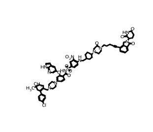 CC1(C)CCC(CN2CCN(c3ccc(C(=O)NS(=O)(=O)c4ccc(NCC5CCC(N6CCN(CCCC#Cc7cccc8c7CN(C7CCC(=O)NC7=O)C8=O)C(=O)C6)CC5)c([N+](=O)[O-])c4)c(Oc4cnc5[nH]ccc5c4)c3)CC2)=C(c2ccc(Cl)cc2)C1